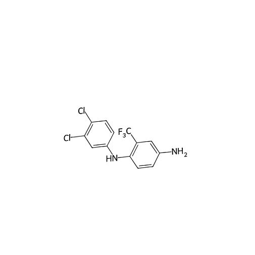 Nc1ccc(Nc2ccc(Cl)c(Cl)c2)c(C(F)(F)F)c1